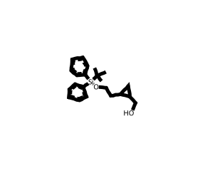 CC(C)(C)[Si](OCCC1CC1CO)(c1ccccc1)c1ccccc1